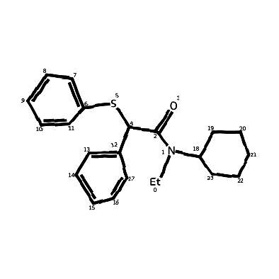 CCN(C(=O)C(Sc1ccccc1)c1ccccc1)C1CCCCC1